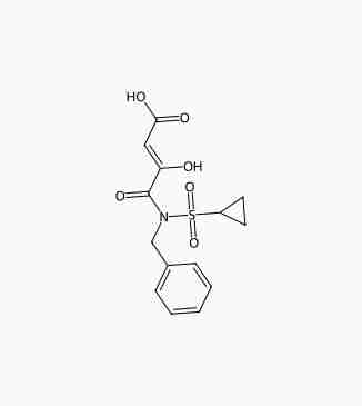 O=C(O)C=C(O)C(=O)N(Cc1ccccc1)S(=O)(=O)C1CC1